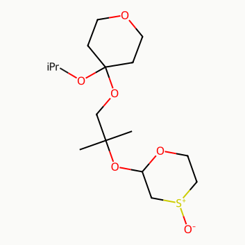 CC(C)OC1(OCC(C)(C)OC2C[S+]([O-])CCO2)CCOCC1